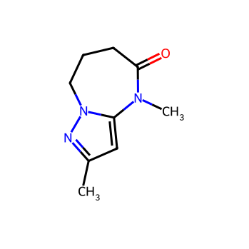 Cc1cc2n(n1)CCCC(=O)N2C